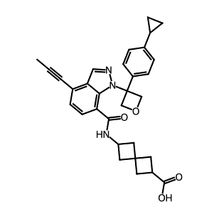 CC#Cc1ccc(C(=O)NC2CC3(C2)CC(C(=O)O)C3)c2c1cnn2C1(c2ccc(C3CC3)cc2)COC1